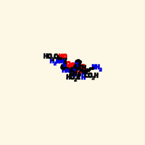 C[C@H](NC(=O)[C@@H]1CCCN1C(=O)[C@H](CO)NC(=O)[C@@H](N)CC(=O)O)C(=O)N[C@H](C(=O)N1CCC[C@H]1C(=O)N[C@@H](CCC(=O)O)C(=O)N[C@@H](CCCCN)C(=O)O)[C@@H](C)O